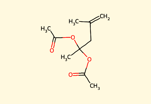 C=C(C)CC(C)(OC(C)=O)OC(C)=O